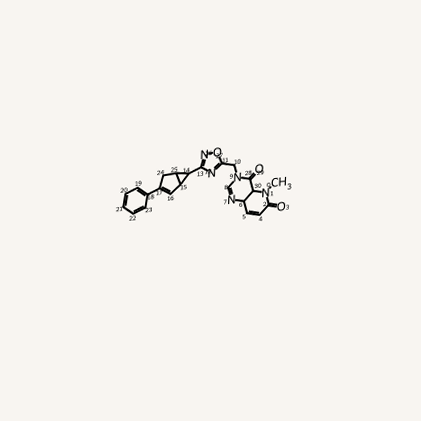 CN1C(=O)C=CC2N=CN(Cc3nc(C4C5C=C(c6ccccc6)CC54)no3)C(=O)C21